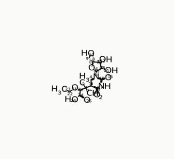 [CH2]C(C)(c1cn([C@@H]2O[C@H](CO)[C@@H](O)[C@H]2O)c(=O)[nH]c1=O)C(OCC)C(=O)O